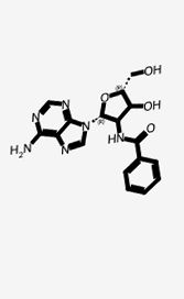 Nc1ncnc2c1ncn2[C@@H]1O[C@H](CO)C(O)C1NC(=O)c1ccccc1